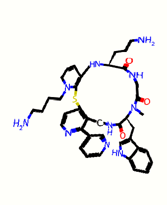 CN1C(=O)CNC(=O)[C@H](CCCN)NCC2=C(Sc3ccnc(-c4cccnc4)c3CNC(=O)[C@@H]1Cc1c[nH]c3ccccc13)N(CCCCN)CC=C2